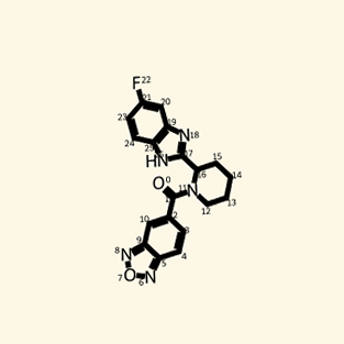 O=C(c1ccc2nonc2c1)N1CCCCC1c1nc2cc(F)ccc2[nH]1